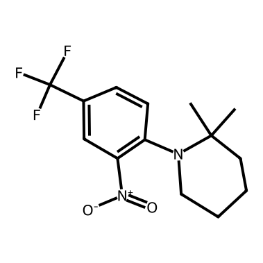 CC1(C)CCCCN1c1ccc(C(F)(F)F)cc1[N+](=O)[O-]